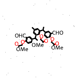 COC(=O)COc1ccc(C(C)c2cc(C)cc(C(C)c3ccc(OCC(=O)OC)c(C=O)c3)c2OCC(=O)OC)cc1C=O